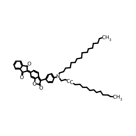 CCCCCCCCCCCCCCCCN(CCCCCCCCCCCCCCCC)c1ccc(C2=c3ccc(=C4C(=O)c5ccccc5C4=O)cc3OC2=O)cc1